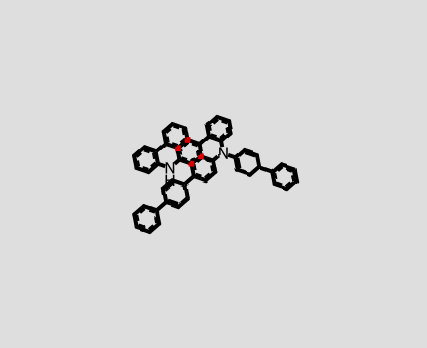 C1=CC(c2ccc(N(C3=CCC(c4ccccc4)C=C3)c3ccccc3-c3ccc(Nc4ccccc4-c4ccccc4)cc3)cc2)CC=C1c1ccccc1